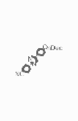 CCCCCCCCCCO[C@H]1CC[C@H](c2cnc([C@H]3CC[C@H](C#N)CC3)nc2)CC1